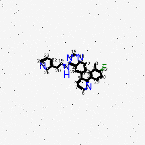 Cc1cc(-c2ncccc2-c2ccc3ncnc(NCCc4cccnc4)c3c2)ccc1F